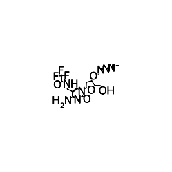 [N-]=[N+]=NCOC1CC(n2cc(CNC(=O)C(F)(F)F)c(N)nc2=O)OC1CO